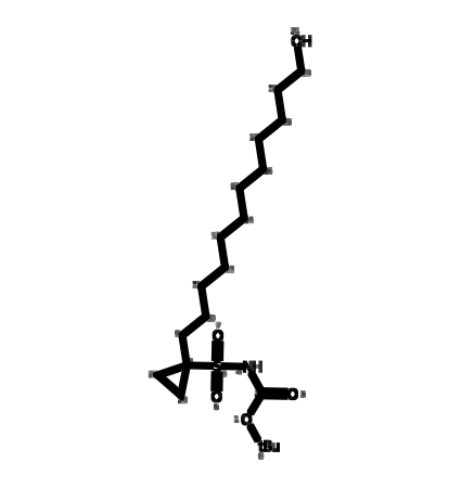 CC(C)(C)OC(=O)NS(=O)(=O)C1(CCCCCCCCCCCCO)CC1